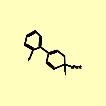 CCCCCC1(I)C=CC(c2ccccc2F)=CC1